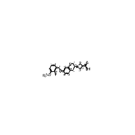 COc1cccc(COc2ccc3c(c2)OCC(N2CC(C(=O)O)C2)C3)c1F